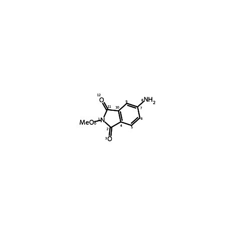 CON1C(=O)c2ccc(N)cc2C1=O